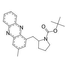 Cc1cc(CC2CCCN2C(=O)OC(C)(C)C)c2nc3ccccc3nc2c1